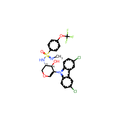 CN=S(=O)(N[C@H]1COC=C(n2c3ccc(Cl)cc3c3cc(Cl)ccc32)[C@@H]1O)c1ccc(OC(F)(F)F)cc1